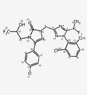 CC(F)c1nc(Cn2nc(-c3ccc(Cl)cc3)n(CC(O)C(F)(F)F)c2=O)nn1-c1c(Cl)cccc1Cl